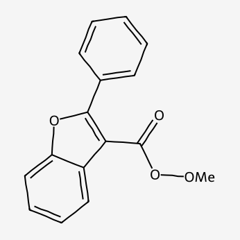 COOC(=O)c1c(-c2ccccc2)oc2ccccc12